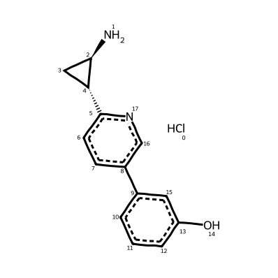 Cl.N[C@@H]1C[C@H]1c1ccc(-c2cccc(O)c2)cn1